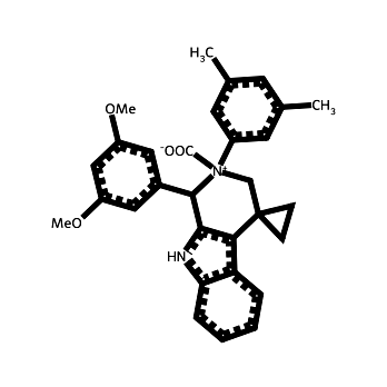 COc1cc(OC)cc(C2c3[nH]c4ccccc4c3C3(CC3)C[N+]2(C(=O)[O-])c2cc(C)cc(C)c2)c1